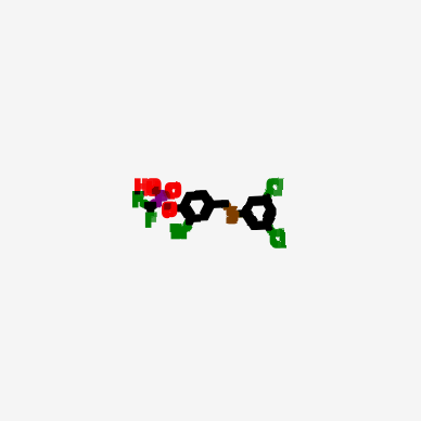 O=P(O)(Oc1ccc(CSc2cc(Cl)cc(Cl)c2)cc1Br)C(F)F